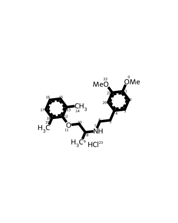 COc1ccc(CCNC(C)COc2c(C)cccc2C)cc1OC.Cl